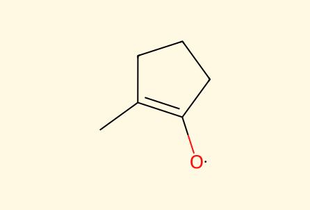 CC1=C([O])CCC1